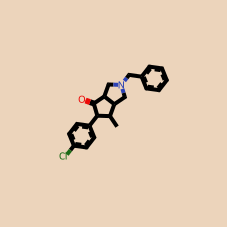 CC1C(c2ccc(Cl)cc2)C(=O)C2CN(Cc3ccccc3)CC21